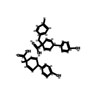 CC1(C(=O)O)C=CC(c2ccc(O)cc2)C=C1.Cc1ccc(CC2(C(=O)O)C=CC(c3ccc(O)cc3)C=C2)cc1